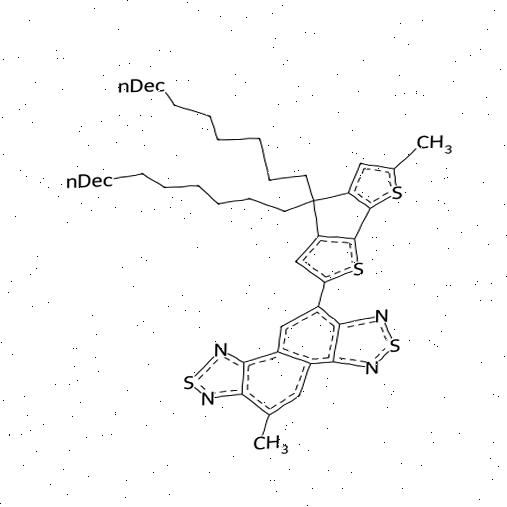 CCCCCCCCCCCCCCCCC1(CCCCCCCCCCCCCCCC)c2cc(C)sc2-c2sc(-c3cc4c(cc(C)c5nsnc54)c4nsnc34)cc21